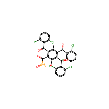 Cc1c(C(=O)[PH2]=O)c(C(=O)c2c(Cl)cccc2Cl)c(C)c(C(=O)c2c(Cl)cccc2Cl)c1C(=O)c1c(Cl)cccc1Cl